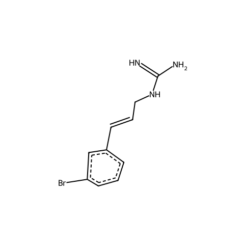 N=C(N)NCC=Cc1cccc(Br)c1